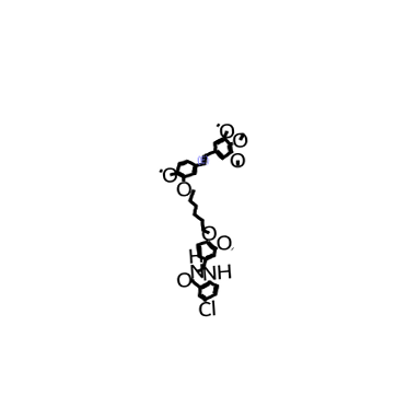 COc1cc(C2NC(=O)c3cc(Cl)ccc3N2)ccc1OCCCCCCOc1cc(/C=C/c2cc(OC)c(OC)c(OC)c2)ccc1OC